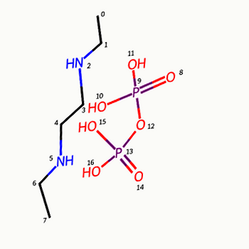 CCNCCNCC.O=P(O)(O)OP(=O)(O)O